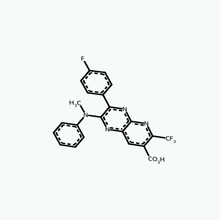 CN(c1ccccc1)c1nc2cc(C(=O)O)c(C(F)(F)F)nc2nc1-c1ccc(F)cc1